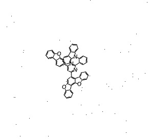 c1ccc(-n2c3ccccc3c3ccccc32)c(-c2nc(-c3ccc4c(c3)oc3ccccc34)cc(-c3cc4oc5ccccc5c4c4oc5ccccc5c34)n2)c1